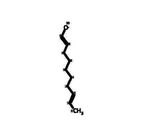 CC=CCCCCCC=C[O]